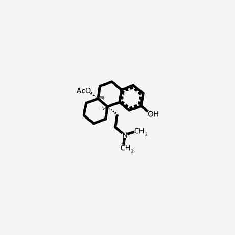 CC(=O)O[C@@]12CCCC[C@]1(CCN(C)C)c1cc(O)ccc1CC2